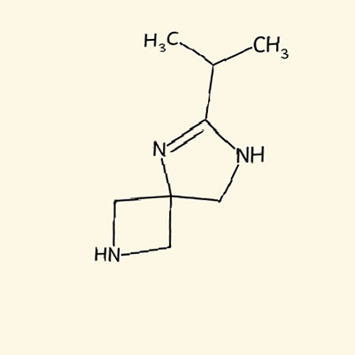 CC(C)C1=NC2(CNC2)CN1